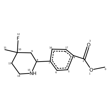 COC(=O)c1ccc(C2CC(C)(F)CCN2)cc1